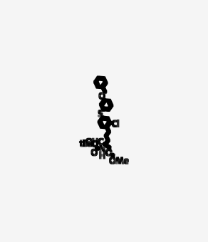 COCOCC(C=O)(CCCc1ccc(Sc2cccc(OCc3ccccc3)c2)cc1Cl)NC(=O)OC(C)(C)C